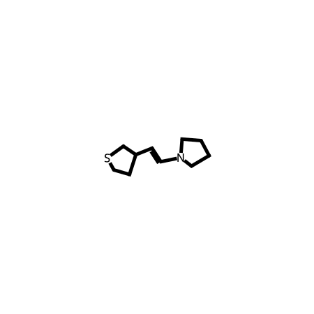 C(=CN1CCCC1)C1CCSC1